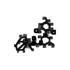 CC(=O)C12CC3CC(C1)C(CC(=O)CN1CC(C)CN(c4c(Cl)cc(C)cc4Cl)C1)C(C3)C2